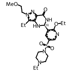 CCOc1ncc(S(=O)(=O)N2CCN(CC)CC2)cc1[C@@H]1NC(=O)c2nn(CCOC)c(CC)c2N1